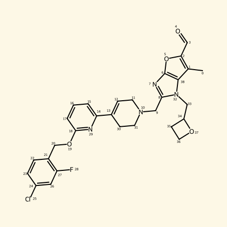 Cc1c(C=O)oc2nc(CN3CC=C(c4cccc(OCc5ccc(Cl)cc5F)n4)CC3)n(CC3CCO3)c12